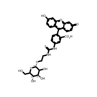 O=C(O)c1cc(NC(=S)NCCO[C@H]2OC(CO)[C@@H](O)[C@H](O)C2O)ccc1-c1c2ccc(=O)cc-2oc2cc(O)ccc12